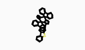 c1ccc2c(c1)-c1ccccc1C21c2ccccc2C2(c3ccccc3-c3ccccc32)c2c(-c3ccc4c(c3)sc3ccccc34)cccc21